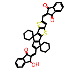 O=C1C(=Cc2cc3sc4c(c3s2)C2(CCCCC2)C2=C4C3(CCCCC3)C(/C=C3\C(=O)c4ccccc4C3O)=C2)C(=O)c2ccccc21